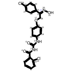 O=C(NC(=O)c1ccccc1Cl)Nc1ccc(OC/C(=N\O)c2ccc(Cl)cc2)cc1